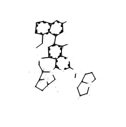 CCc1cccc2cc(O)cc(-c3cc4c5c(nc(OC[C@]67CCCN6C[C@@H](F)C7)nc5c3F)N3C[C@H]5CC[C@H](N5)[C@@H]3CO4)c12